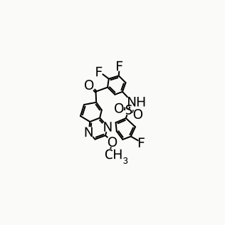 COc1cnc2ccc(C(=O)c3cc(NS(=O)(=O)c4cccc(F)c4)cc(F)c3F)cc2n1